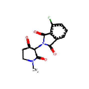 CN1CCC(=O)C(N2C(=O)c3cccc(F)c3C2=O)C1=O